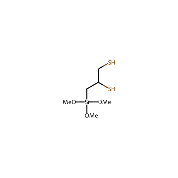 CO[Si](CC(S)CS)(OC)OC